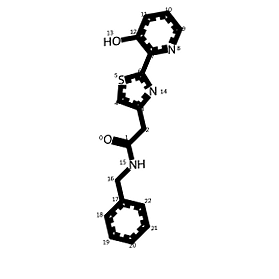 O=C(Cc1csc(-c2ncccc2O)n1)NCc1ccccc1